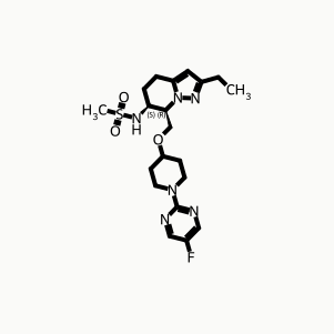 CCc1cc2n(n1)[C@@H](COC1CCN(c3ncc(F)cn3)CC1)[C@@H](NS(C)(=O)=O)CC2